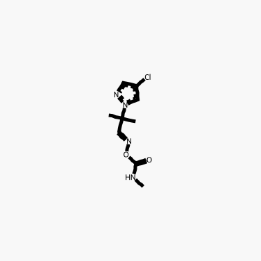 CNC(=O)ON=CC(C)(C)n1cc(Cl)cn1